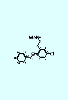 CNCCc1cc(Cl)ccc1OCc1ccccc1